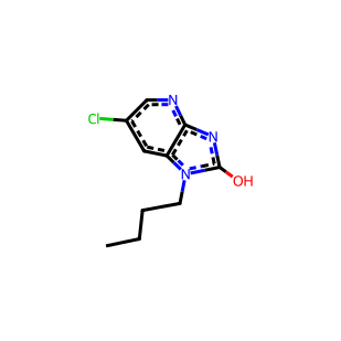 CCCCn1c(O)nc2ncc(Cl)cc21